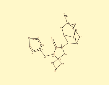 O=C1N(C2C3CC4CC2CC(O)(C4)C3)CC2(COC2)N1Cc1ccccc1